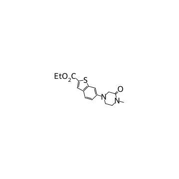 CCOC(=O)c1cc2ccc(N3CCN(C)C(=O)C3)cc2s1